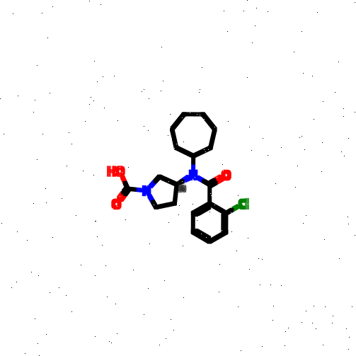 O=C(O)N1CC[C@H](N(C(=O)c2ccccc2Cl)C2CCCCCC2)C1